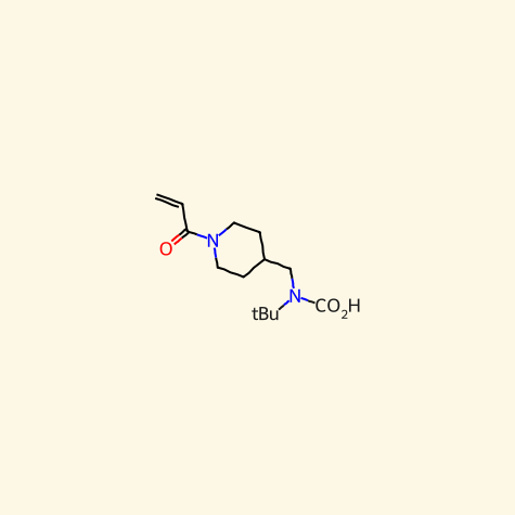 C=CC(=O)N1CCC(CN(C(=O)O)C(C)(C)C)CC1